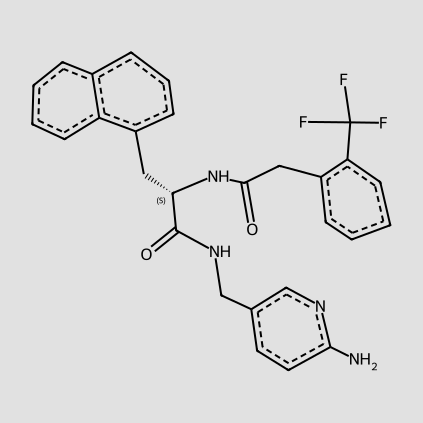 Nc1ccc(CNC(=O)[C@H](Cc2cccc3ccccc23)NC(=O)Cc2ccccc2C(F)(F)F)cn1